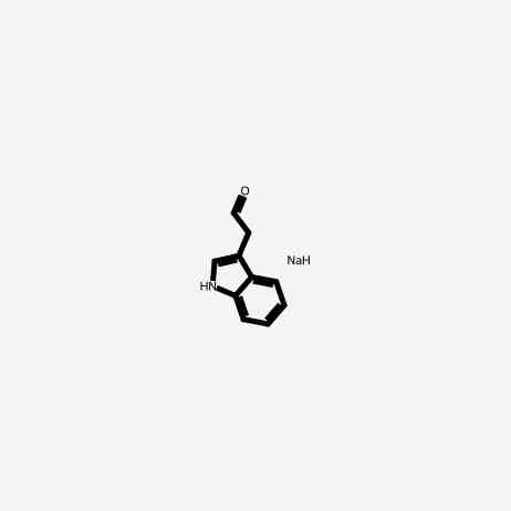 O=CCc1c[nH]c2ccccc12.[NaH]